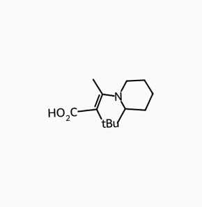 CC(=C(C(=O)O)C(C)(C)C)N1CCCCC1C